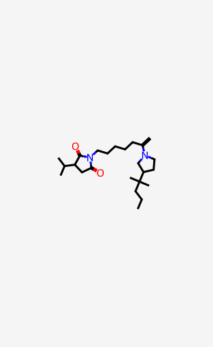 C=C(CCCCCN1C(=O)CC(C(C)C)C1=O)N1CCC(C(C)(C)CCC)C1